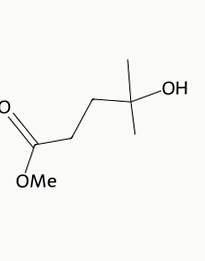 COC(=O)CCC(C)(C)O